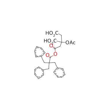 CC(=O)OC(CC(=O)O)(CC(=O)OC(=O)C(Cc1ccccc1)(Cc1ccccc1)Cc1ccccc1)C(=O)O